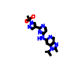 Cc1nc2cnc(Nc3ccnc(-c4cnn(S(C)(=O)=O)c4)n3)cc2n1C(C)C